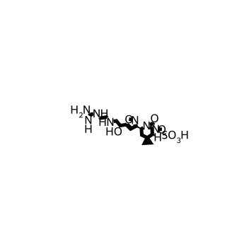 N=C(N)NCCNC[C@@H](O)c1cc([C@@H]2CC3(CC3)[C@@H]3CN2C(=O)N3OS(=O)(=O)O)no1